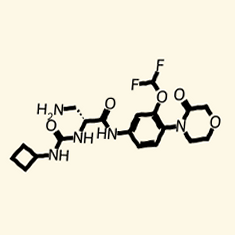 NC[C@@H](NC(=O)NC1CCC1)C(=O)Nc1ccc(N2CCOCC2=O)c(OC(F)F)c1